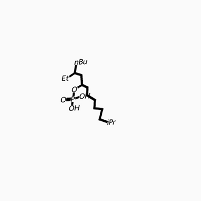 CCCCC(CC)CC(CCCCCCC(C)C)OP(=O)(O)O